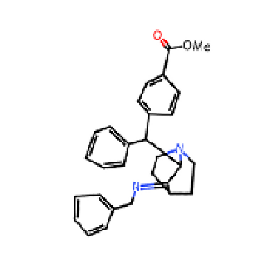 COC(=O)c1ccc(C(c2ccccc2)C2C(=NCc3ccccc3)C3CCN2CC3)cc1